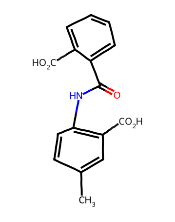 Cc1ccc(NC(=O)c2ccccc2C(=O)O)c(C(=O)O)c1